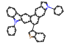 c1ccc(-n2ccc3cc4c(cc(-c5csc6ccccc56)c5cc6c(cc54)c4ccccc4n6-c4ccccc4)cc32)cc1